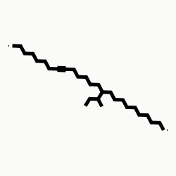 [CH2]CCCCCCC#CCCCCCC(CCCCCCCCC[CH2])C(C)CC